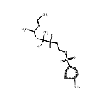 CCOC(C)OC(C)(C)C(F)(F)CCOS(=O)(=O)c1ccc(C)cc1